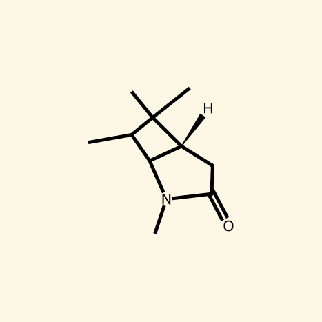 CC1C2[C@@H](CC(=O)N2C)C1(C)C